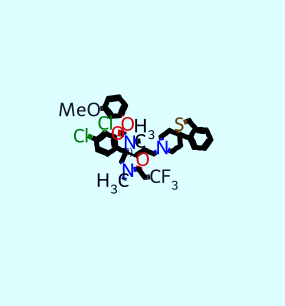 COc1cccc(OC(=O)N(C)[C@](CCCN2CCC3(CC2)SCc2ccccc23)(CN(C)C(=O)CC(F)(F)F)c2ccc(Cl)c(Cl)c2)c1